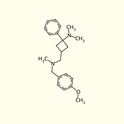 COc1ccc(CN(C)CC2CC(c3ccccc3)(N(C)C)C2)cc1